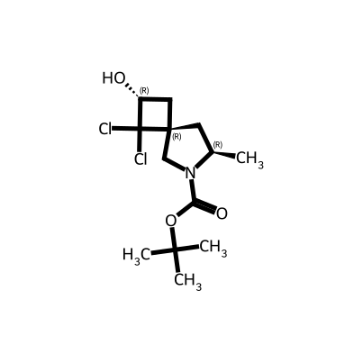 C[C@@H]1C[C@@]2(C[C@@H](O)C2(Cl)Cl)CN1C(=O)OC(C)(C)C